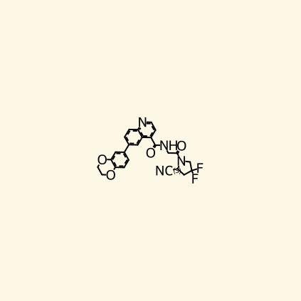 N#C[C@@H]1CC(F)(F)CN1C(=O)CNC(=O)c1ccnc2ccc(-c3ccc4c(c3)OCCO4)cc12